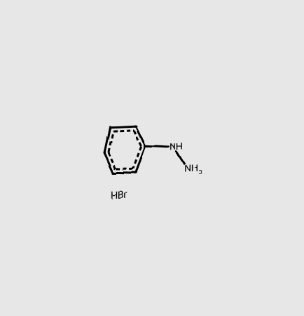 Br.NNc1ccccc1